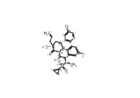 C=CC[C@@]1(C)C[C@H](c2cncc(Cl)c2)[C@@H](c2ccc(Cl)cc2)N(C(CC)CN(C)S(=O)(=O)C2CC2)C1=O